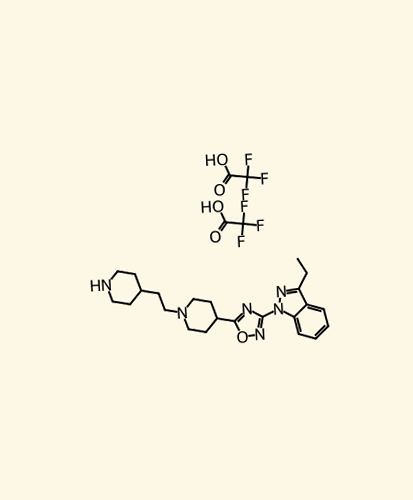 CCc1nn(-c2noc(C3CCN(CCC4CCNCC4)CC3)n2)c2ccccc12.O=C(O)C(F)(F)F.O=C(O)C(F)(F)F